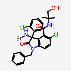 CCNC1(c2ccccc2Cl)C(=O)N(Cc2ccccc2)c2ccc(Cl)c(C(=O)NC(C)(C)CO)c21